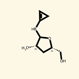 C[C@H]1C[C@@H](CO)OC1BC1=CC1